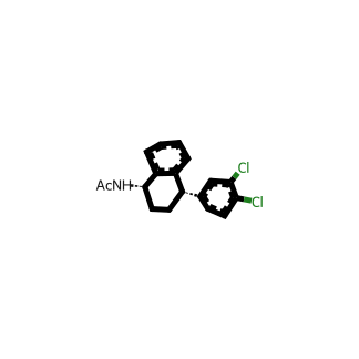 CC(=O)N[C@H]1CC[C@@H](c2ccc(Cl)c(Cl)c2)c2ccccc21